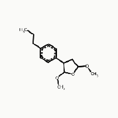 CCCc1ccc(C2CC(OC)OC2OC)cc1